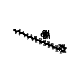 CCCCCCCCCCCCCCCCCCCCCC[n+]1ccccc1.O=S(=O)(O)O